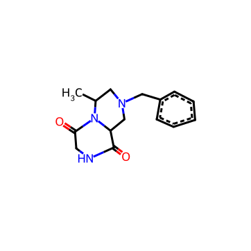 CC1CN(Cc2ccccc2)CC2C(=O)NCC(=O)N12